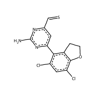 Nc1nc(C=S)cc(-c2c(Cl)cc(Cl)c3c2CCO3)n1